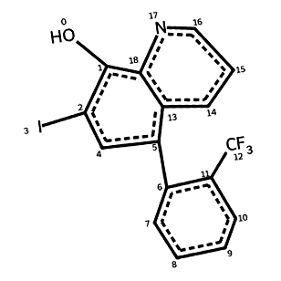 Oc1c(I)cc(-c2ccccc2C(F)(F)F)c2cccnc12